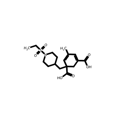 CCS(=O)(=O)N1CCC(CC2(C(=O)O)C=C(C)C=C(C(=O)O)C2)CC1